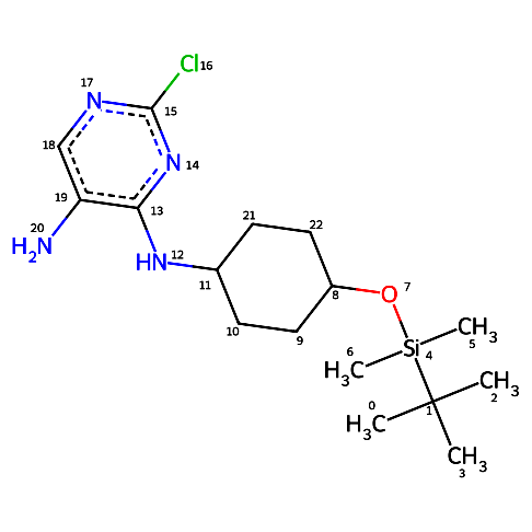 CC(C)(C)[Si](C)(C)OC1CCC(Nc2nc(Cl)ncc2N)CC1